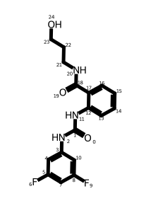 O=C(Nc1cc(F)cc(F)c1)Nc1ccccc1C(=O)NCCCO